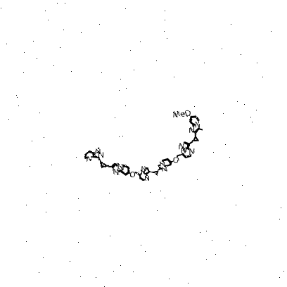 COc1ccn2c(C)c(C3CC3c3cnn4c(COc5ccn6cc(C7CC7c7cnn8c(COc9ccn%10cc(C%11CC%11c%11nn(C)c%12cccnc%11%12)nc%10c9)ccnc78)nc6c5)ccnc34)nc2c1